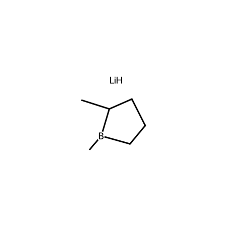 CB1CCCC1C.[LiH]